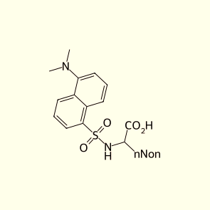 CCCCCCCCCC(NS(=O)(=O)c1cccc2c(N(C)C)cccc12)C(=O)O